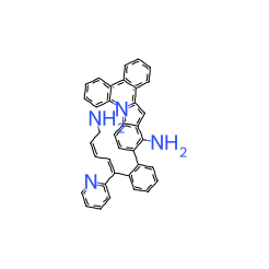 NC/C=C\C=C(c1ccccn1)c1ccccc1-c1ccc2c(cc3c4ccccc4c4ccccc4n23)c1N